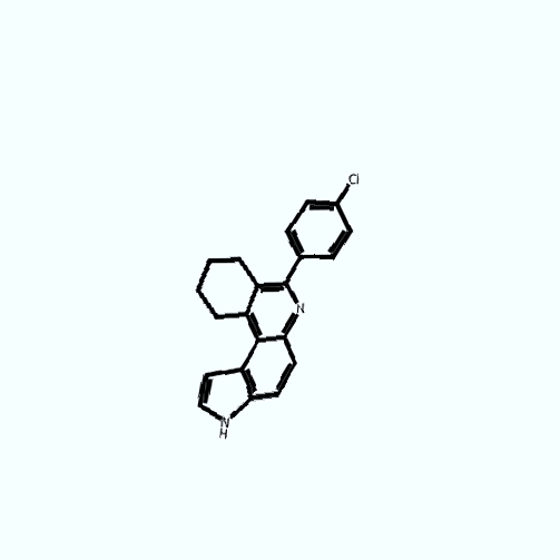 Clc1ccc(-c2nc3ccc4[nH]ccc4c3c3c2CCCC3)cc1